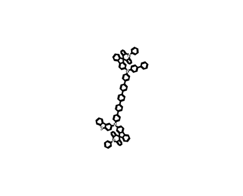 c1ccc(-c2ccc(N(c3ccc(-c4ccc(-c5ccc(-c6ccc(-c7ccc(N(c8ccc9c(c8)C8(c%10ccccc%10-9)c9ccccc9N(c9ccccc9)c9ccccc98)c8ccc9sc%10ccccc%10c9c8)cc7)cc6)cc5)cc4)cc3)c3ccc4c(c3)C3(c5ccccc5-4)c4ccccc4N(c4ccccc4)c4ccccc43)cc2)cc1